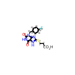 O=C(O)CCSc1nc2c([nH]1)c(=O)[nH]c(=O)n2Cc1ccc(F)cc1